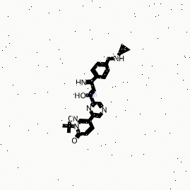 CC(C)(C#N)n1cc(-c2cncc(/C(O)=C/C(=N)c3ccc(CNC4CC4)cc3)n2)ccc1=O